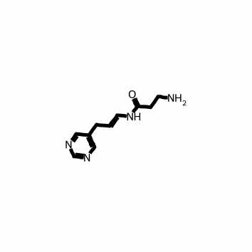 NCCC(=O)NC=CCc1cncnc1